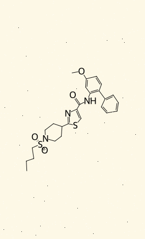 CCCCS(=O)(=O)N1CCC(c2nc(C(=O)Nc3cc(OC)ccc3-c3ccccc3)cs2)CC1